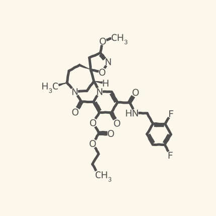 CCCOC(=O)Oc1c2n(cc(C(=O)NCc3ccc(F)cc3F)c1=O)[C@@H]1CN(C2=O)[C@@H](C)CC[C@]12CC(OC)=NO2